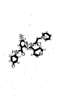 O=C(C[n+]1ccccc1)NC(Sc1ncccc1C(=O)Nc1ccc(Cl)cc1)c1ccncc1.[Br-]